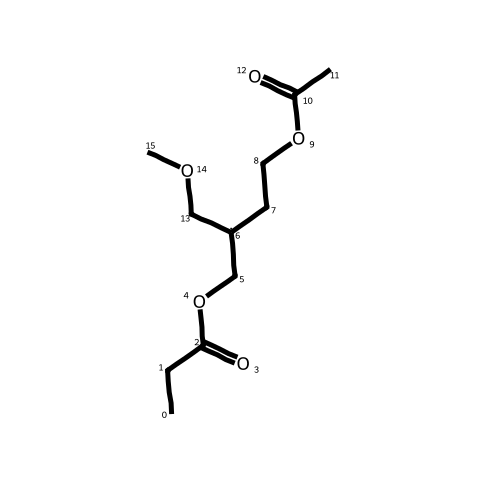 CCC(=O)OC[C](CCOC(C)=O)COC